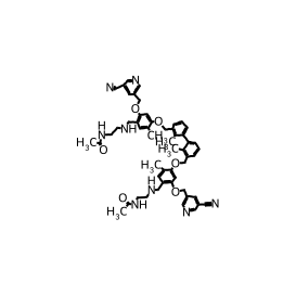 CC(=O)NCCNCc1cc(C)c(OCc2cccc(-c3cccc(COc4cc(OCc5cncc(C#N)c5)c(CNCCNC(C)=O)cc4C)c3C)c2C)cc1OCc1cncc(C#N)c1